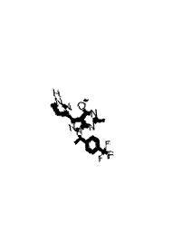 COc1nc(C)nc2c1c(-c1cc[nH]n1)nn2C(C)c1ccc(C(F)(F)F)cc1